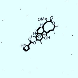 CO[C@H]1C[C@H]2C=C[C@H]3[C@H]4O[C@]2(/C(C)=C/[C@@H](C)[C@H](C)OC1=O)[C@@H]3[C@H](O)[C@@H](C)[C@H]4OC(=O)c1ccc[nH]1